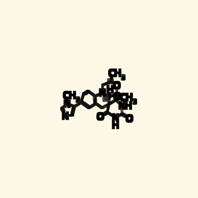 C[C@@H]1CN2c3ccc(-c4cncn4C)cc3CC3(C(=O)NC(=O)NC3=O)[C@H]2[C@H](C)O1